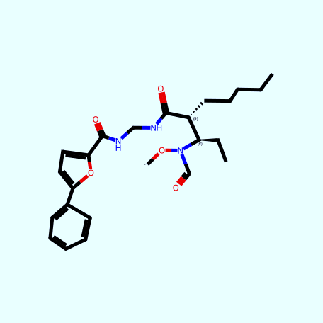 [CH2]ON(C=O)[C@H](CC)[C@@H](CCCCC)C(=O)NCNC(=O)c1ccc(-c2ccccc2)o1